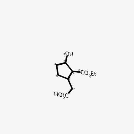 CCOC(=O)C1C(O)CCC1CC(=O)O